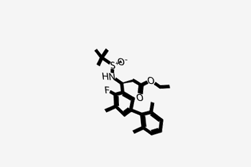 CCOC(=O)C[C@H](N[S@+]([O-])C(C)(C)C)c1cc(-c2c(C)cccc2C)cc(C)c1F